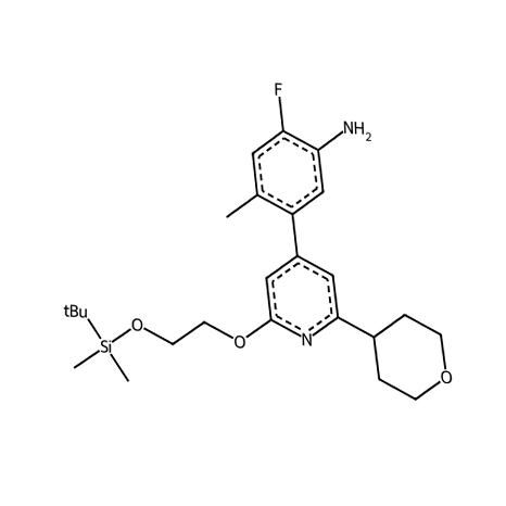 Cc1cc(F)c(N)cc1-c1cc(OCCO[Si](C)(C)C(C)(C)C)nc(C2CCOCC2)c1